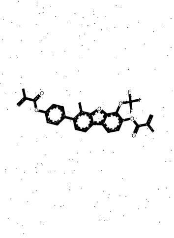 C=C(C)C(=O)Oc1ccc(-c2ccc3c(oc4c(OC(F)(F)F)c(OC(=O)C(=C)C)ccc43)c2C)cc1